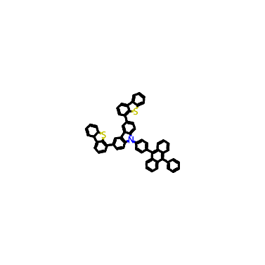 C1=CC2Sc3c(-c4ccc5c(c4)c4cc(-c6cccc7c6sc6ccccc67)ccc4n5-c4ccc(-c5c6ccccc6c(-c6ccccc6)c6ccccc56)cc4)cccc3C2C=C1